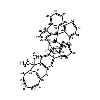 CC1(C)c2cc3c(cc2CC2=CC1C/C=C\C=C/2)c1ccccc1n3-c1cccc2c1C1(c3ccccc3Oc3ccccc31)c1ccccc1-2